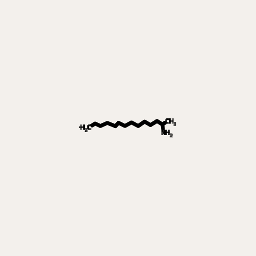 [CH2]CCCCCCCCCCCC(C)N